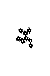 c1ccc(-c2cc(-c3ccccc3)cc(-c3cc(-c4cc(-c5ccccc5)ccn4)cc(-c4cc(-c5ccccc5)ccn4)c3)c2)cc1